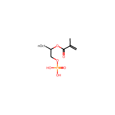 C=C(C)C(=O)OC(CCCCCCCC)COP(=O)(O)O